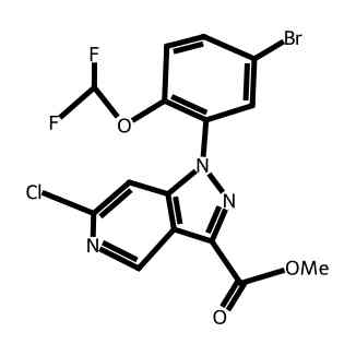 COC(=O)c1nn(-c2cc(Br)ccc2OC(F)F)c2cc(Cl)ncc12